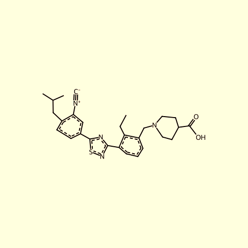 [C-]#[N+]c1cc(-c2nc(-c3cccc(CN4CCC(C(=O)O)CC4)c3CC)ns2)ccc1CC(C)C